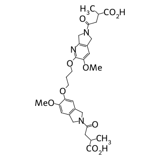 COc1cc2c(cc1OCCCOc1nc3c(cc1OC)CN(C(=O)CC(C)C(=O)O)C3)CN(C(=O)CC(C)C(=O)O)C2